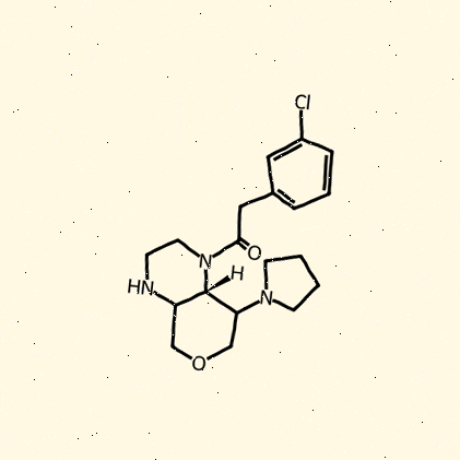 O=C(Cc1cccc(Cl)c1)N1CCNC2COCC(N3CCCC3)[C@H]21